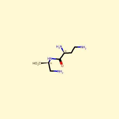 NCC[C@H](N)C(=O)N[C@@H](CN)C(=O)O